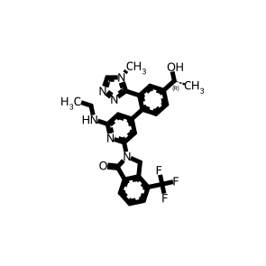 CCNc1cc(-c2ccc([C@@H](C)O)cc2-c2nncn2C)cc(N2Cc3c(cccc3C(F)(F)F)C2=O)n1